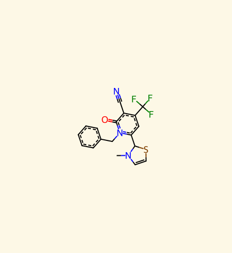 CN1C=CSC1c1cc(C(F)(F)F)c(C#N)c(=O)n1Cc1ccccc1